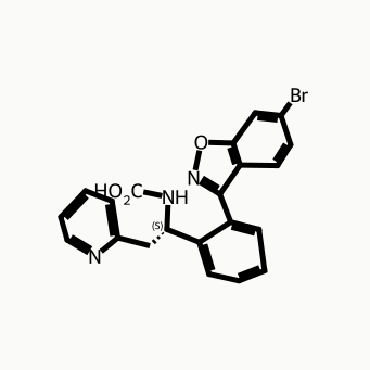 O=C(O)N[C@@H](Cc1ccccn1)c1ccccc1-c1noc2cc(Br)ccc12